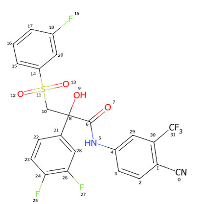 N#Cc1ccc(NC(=O)C(O)(CS(=O)(=O)c2cccc(F)c2)c2ccc(F)c(F)c2)cc1C(F)(F)F